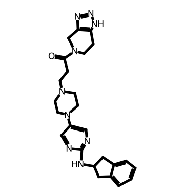 O=C(CCN1CCN(c2cnc(NC3Cc4ccccc4C3)nc2)CC1)N1CCc2[nH]nnc2C1